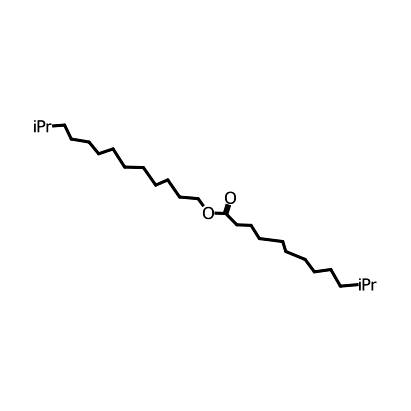 CC(C)CCCCCCCCCCCOC(=O)CCCCCCCCCC(C)C